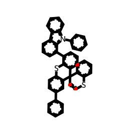 c1ccc(-c2ccc3c(c2)C2(c4ccccc4Sc4ccccc42)c2cccc(-c4cccc5c6ccccc6n(-c6ccccc6)c45)c2S3)cc1